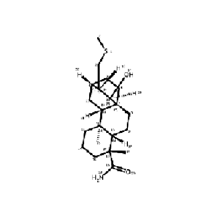 CSC[C@H]1[C@H]2CC[C@@]3(CC[C@H]4[C@@](C)(CCC[C@@]4(C)C(N)=O)[C@@H]3C2)[C@@H]1O